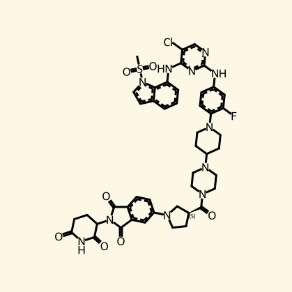 CS(=O)(=O)n1ccc2cccc(Nc3nc(Nc4ccc(N5CCC(N6CCN(C(=O)[C@H]7CCN(c8ccc9c(c8)C(=O)N(C8CCC(=O)NC8=O)C9=O)C7)CC6)CC5)c(F)c4)ncc3Cl)c21